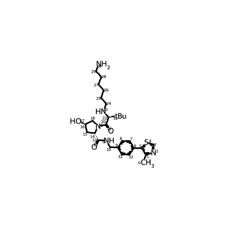 Cc1ncsc1-c1ccc(CNC(=O)[C@@H]2C[C@@H](O)CN2C(=O)[C@@H](NCCCCCCN)C(C)(C)C)cc1